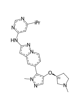 CC(C)c1cc(Nc2cc3cc(-c4c(O[C@H]5CCN(C)C5)cnn4C)ccn3n2)ncn1